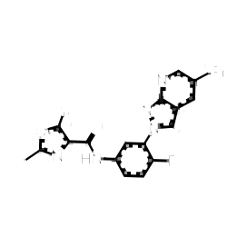 Cc1nc(C(=O)Nc2ccc(F)c(-n3cc4cc(C(C)C)cnc4n3)c2)c(C(F)(F)F)o1